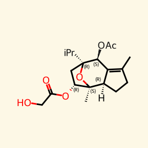 CC(=O)O[C@H]1C2=C(C)CC[C@H]2[C@]2(C)O[C@@]1(C(C)C)C[C@H]2OC(=O)CO